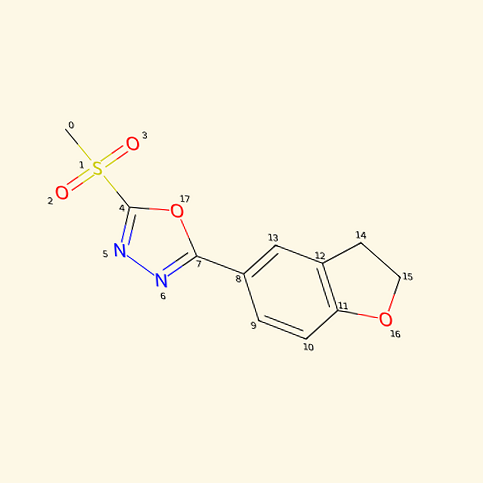 CS(=O)(=O)c1nnc(-c2ccc3c(c2)CCO3)o1